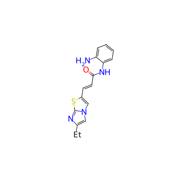 CCc1cn2cc(/C=C/C(=O)Nc3ccccc3N)sc2n1